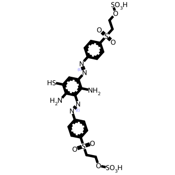 Nc1c(S)cc(/N=N/c2ccc(S(=O)(=O)CCOS(=O)(=O)O)cc2)c(N)c1/N=N/c1ccc(S(=O)(=O)CCOS(=O)(=O)O)cc1